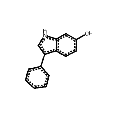 Oc1ccc2c(-c3ccccc3)c[nH]c2c1